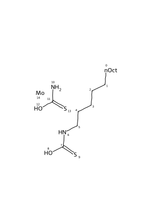 CCCCCCCCCCCCCNC(O)=S.NC(O)=S.[Mo]